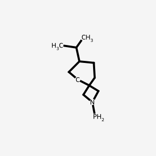 CC(C)C1CCC2(CC1)CN(P)C2